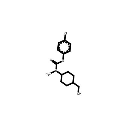 CN(C(=O)Oc1ccc(Cl)cc1)C1CCC(CO)CC1